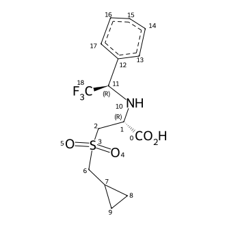 O=C(O)[C@H](CS(=O)(=O)CC1CC1)N[C@H](c1ccccc1)C(F)(F)F